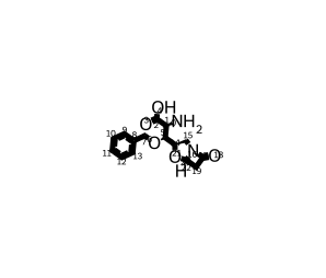 N[C@H](C(=O)O)[C@@H](OCc1ccccc1)[C@H]1CN2C(=O)C[C@H]2O1